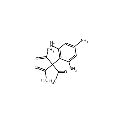 CC(=O)C(C(C)=O)(C(C)=O)c1c(N)cc(N)cc1N